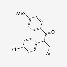 CSc1ccc(C(=O)C(CC(C)=O)c2ccc(Cl)cc2)cc1